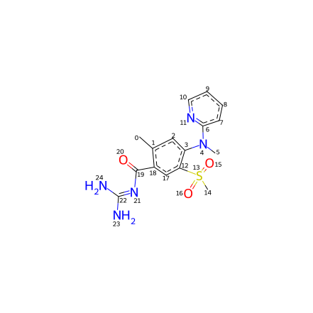 Cc1cc(N(C)c2ccccn2)c(S(C)(=O)=O)cc1C(=O)N=C(N)N